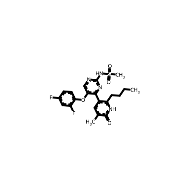 CCCCc1[nH]c(=O)c(C)cc1-c1nc(NS(C)(=O)=O)ncc1Oc1ccc(F)cc1F